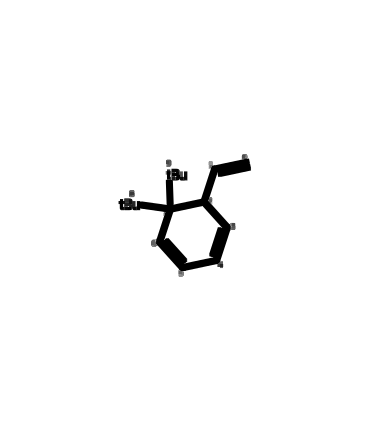 C=CC1C=CC=CC1(C(C)(C)C)C(C)(C)C